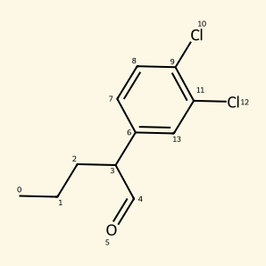 CCCC(C=O)c1ccc(Cl)c(Cl)c1